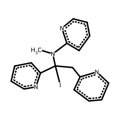 CN(c1ccccn1)C(I)(Cc1ccccn1)c1ccccn1